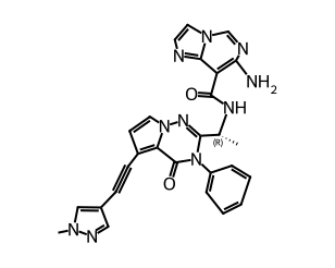 C[C@@H](NC(=O)c1c(N)ncn2ccnc12)c1nn2ccc(C#Cc3cnn(C)c3)c2c(=O)n1-c1ccccc1